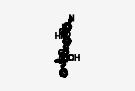 CCCC1(CCc2ccccc2)CC(O)=C(CC(C)(C)Cc2cccc(NS(=O)(=O)c3ccc(C#N)cn3)c2)C(=O)O1